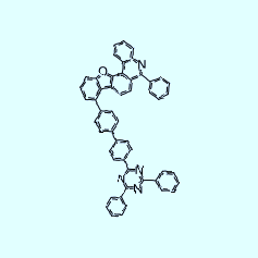 c1ccc(-c2nc(-c3ccccc3)nc(-c3ccc(-c4ccc(-c5cccc6oc7c(ccc8c(-c9ccccc9)nc9ccccc9c87)c56)cc4)cc3)n2)cc1